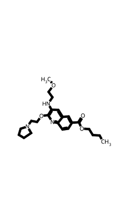 CCCCOC(=O)c1ccc2nc(OCCN3CCCC3)c(NCCOC)cc2c1